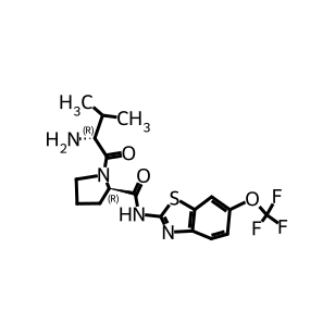 CC(C)[C@@H](N)C(=O)N1CCC[C@@H]1C(=O)Nc1nc2ccc(OC(F)(F)F)cc2s1